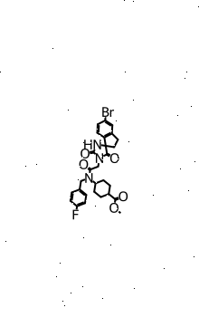 COC(=O)C1CCC(N(Cc2ccc(F)cc2)C(=O)CN2C(=O)NC3(CCc4cc(Br)ccc43)C2=O)CC1